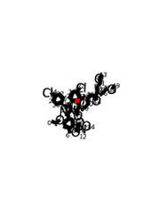 CCOc1cc(C)c(S(=O)(=O)N(C)OC)cc1C1=N[C@@H](c2ccc(Cl)cc2)[C@@H](c2ccc(Cl)cc2)N1C(=O)N1CCN(CC(=O)N(CCOC)CCOC)CC1